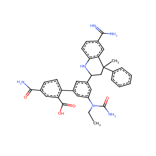 CCN(C(N)=O)c1cc(-c2ccc(C(N)=O)cc2C(=O)O)cc(C2CC(C)(c3ccccc3)c3cc(C(=N)N)ccc3N2)c1